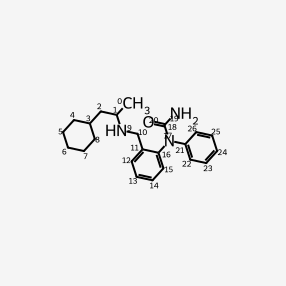 CC(CC1CCCCC1)NCc1ccccc1N(C(N)=O)c1ccccc1